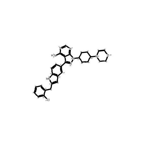 Nc1ncnc2c1c(-c1ccc3[nH]c(Cc4ccccc4Cl)cc3c1)nn2C1CCC(N2CCOCC2)CC1